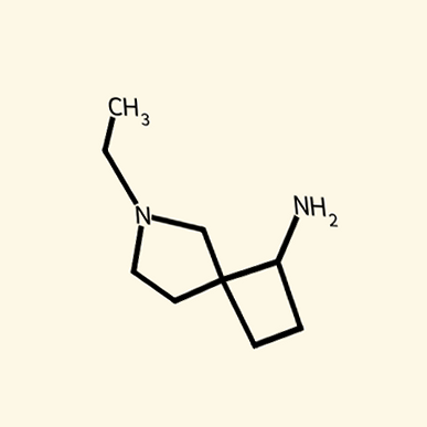 CCN1CCC2(CCC2N)C1